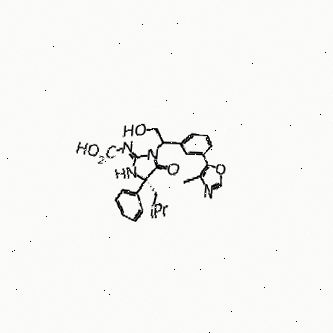 Cc1ncoc1-c1cccc(C(CO)N2C(=O)[C@@](CC(C)C)(c3ccccc3)NC2=NC(=O)O)c1